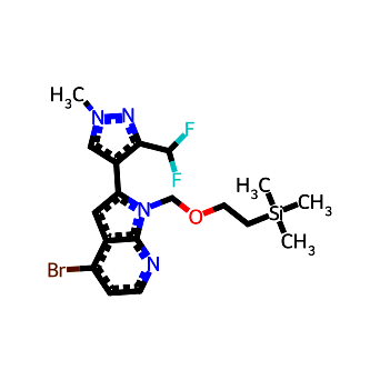 Cn1cc(-c2cc3c(Br)ccnc3n2COCC[Si](C)(C)C)c(C(F)F)n1